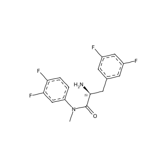 CN(C(=O)[C@@H](N)Cc1cc(F)cc(F)c1)c1ccc(F)c(F)c1